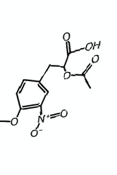 COc1ccc(CC(OC(C)=O)C(=O)O)cc1[N+](=O)[O-]